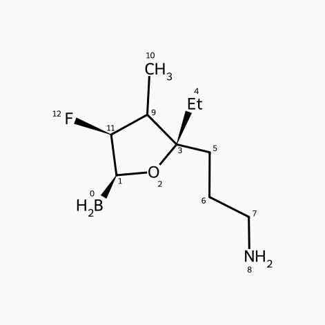 B[C@@H]1O[C@@](CC)(CCCN)C(C)[C@@H]1F